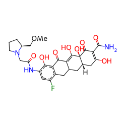 COC[C@@H]1CCCN1CC(=O)Nc1cc(F)c2c(c1O)C(=O)C1=C(O)[C@]3(O)C(=O)C(C(N)=O)=C(O)C[C@@H]3CC1C2